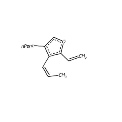 C=Cc1occ(CCCCC)c1/C=C\C